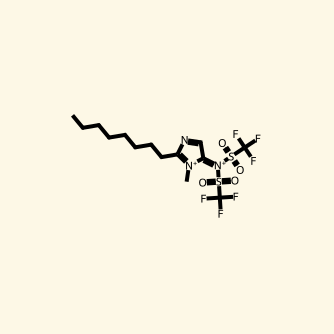 CCCCCCCCC1=[N+](C)C(=[N+](S(=O)(=O)C(F)(F)F)S(=O)(=O)C(F)(F)F)C=N1